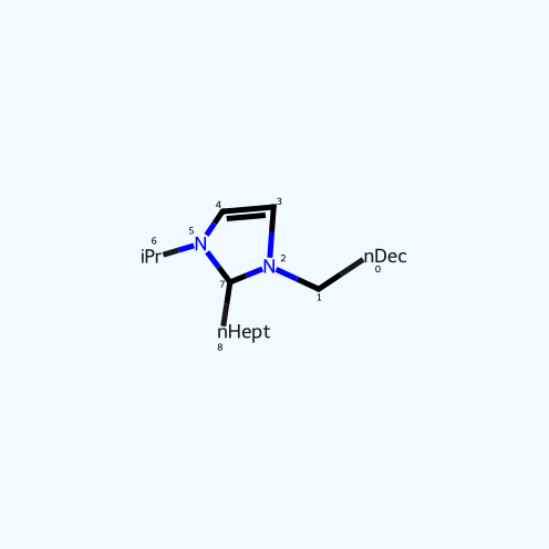 CCCCCCCCCCCN1C=CN(C(C)C)C1CCCCCCC